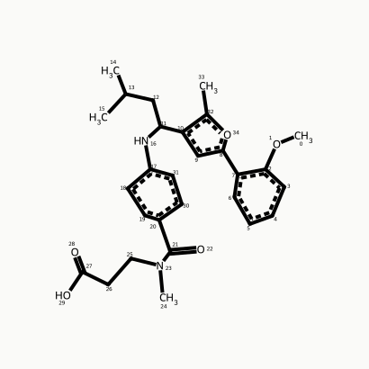 COc1ccccc1-c1cc(C(CC(C)C)Nc2ccc(C(=O)N(C)CCC(=O)O)cc2)c(C)o1